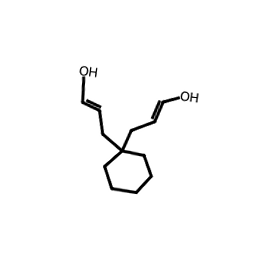 OC=CCC1(CC=CO)CCCCC1